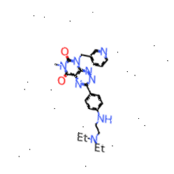 CCN(CC)CCNc1ccc(-c2nnc3c(n2)c(=O)n(C)c(=O)n3Cc2cccnc2)cc1